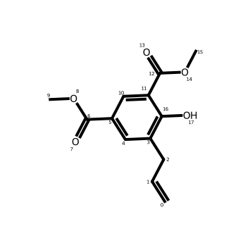 C=CCc1cc(C(=O)OC)cc(C(=O)OC)c1O